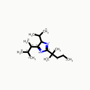 CCCC(C)(C)C1=NC(C(C)C)C(C(C)C(C)C)=N1